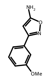 COc1cccc(-c2cc(N)on2)c1